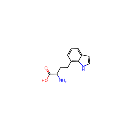 NC(CCc1cccc2cc[nH]c12)C(=O)O